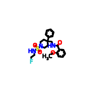 COc1ccccc1C(=O)NCC1(c2ccccc2)CCN(S(=O)(=O)NCCF)CC1